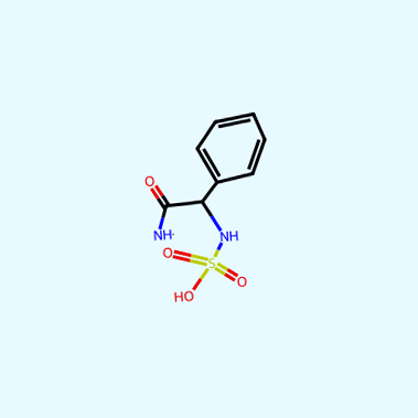 [NH]C(=O)C(NS(=O)(=O)O)c1ccccc1